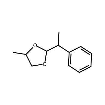 CC1COC(C(C)c2ccccc2)O1